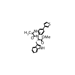 COC(=O)[C@H](Cc1c[nH]c2ccccc12)N(C(=O)[C@H](C)N)c1ccc(-c2ccsc2)cc1